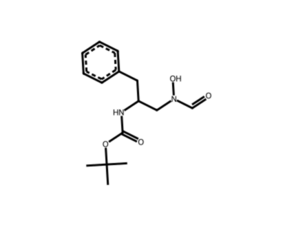 CC(C)(C)OC(=O)NC(Cc1ccccc1)CN(O)C=O